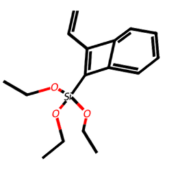 C=CC1=C([Si](OCC)(OCC)OCC)c2ccccc21